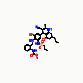 CCCC1CC(=O)C2=C(C1)NC(C)=C(C#N)C2c1cc(Br)c(NCc2ccccc2NC(=O)OC)c(NS(=O)(=O)CCC)c1